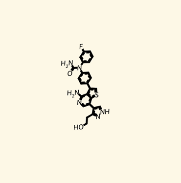 NC(=O)N(c1ccc(-c2csc3c(-c4c[nH]nc4CCO)cnc(N)c23)cc1)c1cccc(F)c1